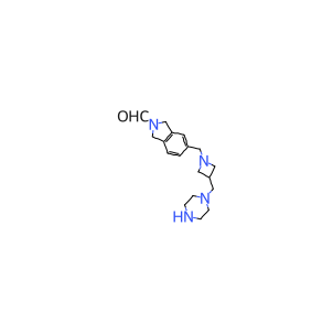 O=CN1Cc2ccc(CN3CC(CN4CCNCC4)C3)cc2C1